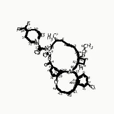 CO[C@H]1/C=C/C[C@H](C)CS(=O)(NC(=O)N2CCC(C(F)F)CC2)=NC(=O)c2ccc3c(c2)N(Cc2ccc(Cl)cc2CCCCO3)C[C@@H]2CC[C@H]21